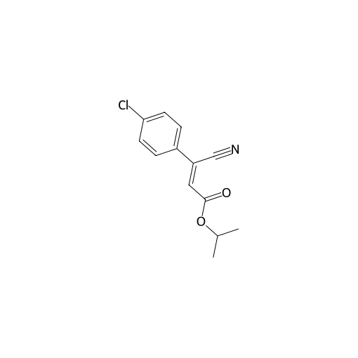 CC(C)OC(=O)C=C(C#N)c1ccc(Cl)cc1